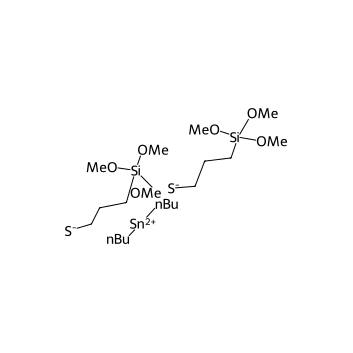 CCC[CH2][Sn+2][CH2]CCC.CO[Si](CCC[S-])(OC)OC.CO[Si](CCC[S-])(OC)OC